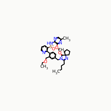 CCCCC1=NC2(CCCC2)C(=O)N1Cc1ccc(-c2ncccc2[S+]([O-])Nc2ncc(C)nc2OC)c(COCC)c1